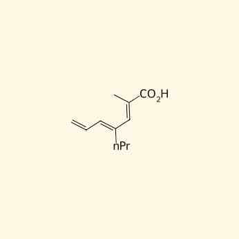 C=CC=C(C=C(C)C(=O)O)CCC